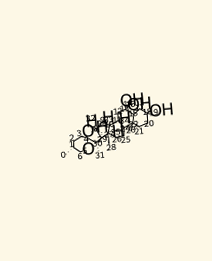 C[C@@H]1CC[C@@]2(OC1)O[C@H]1C[C@H]3[C@@H]4C[C@@H](O)[C@@]5(O)C[C@@H](O)CC[C@]5(C)[C@H]4CC[C@]3(C)[C@H]1[C@@H]2C